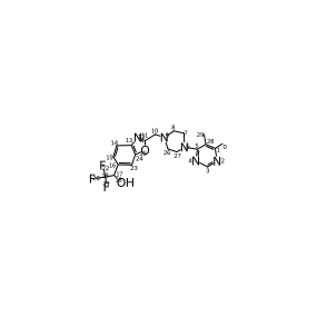 Cc1ncnc(N2CCN(Cc3nc4ccc(C(O)C(F)(F)F)cc4o3)CC2)c1C